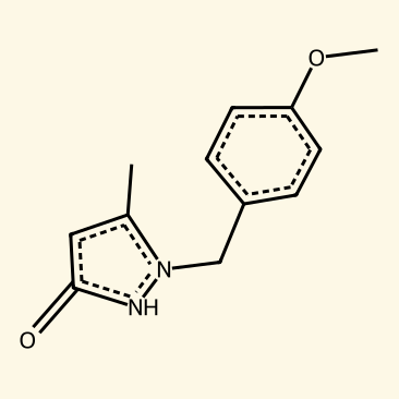 COc1ccc(Cn2[nH]c(=O)cc2C)cc1